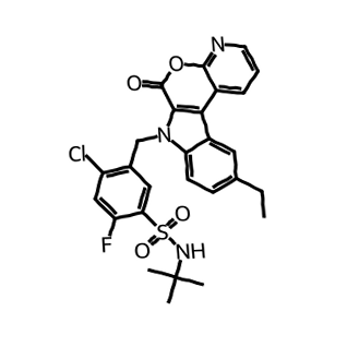 CCc1ccc2c(c1)c1c3cccnc3oc(=O)c1n2Cc1cc(S(=O)(=O)NC(C)(C)C)c(F)cc1Cl